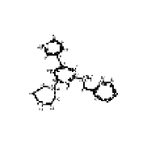 c1ccc(CNc2nc(-c3cccnc3)nc(N3CCOCC3)n2)nc1